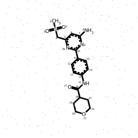 CS(=O)(=O)Cc1cc(N)nc(-c2ccc(NC(=O)C3CCOCC3)cc2)n1